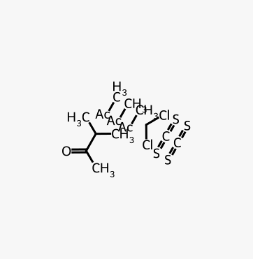 CC(=O)C(C)C.CC(C)=O.CC(C)=O.CC(C)=O.ClCCl.S=C=S.S=C=S